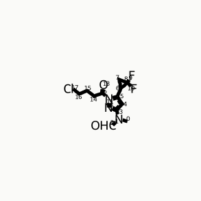 CN(C=O)c1cc(C2CC2(F)F)n(C(=O)CCCCl)n1